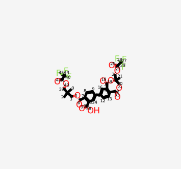 CC(C)(COC(=O)c1ccc(-c2ccc3c(c2)C(=O)OC(C)(COC(=O)C(F)(F)F)COC3=O)cc1C(=O)O)COC(=O)C(F)(F)F